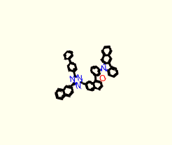 c1ccc(-c2ccc(-c3nc(-c4ccc5ccccc5c4)nc(-c4ccc5ccc6oc7c(-n8c9ccccc9c9cc%10ccccc%10cc98)cccc7c6c5c4)n3)cc2)cc1